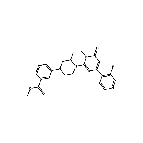 COC(=O)c1cccc(N2CCN(c3nc(-c4ccncc4F)cc(=O)n3C)C(C)C2)c1